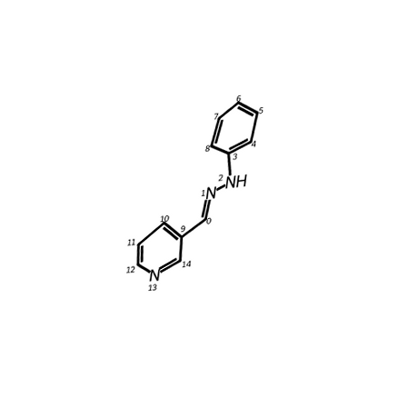 C(=N\Nc1ccccc1)/c1cccnc1